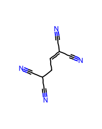 N#CC(C#N)=CCC(C#N)C#N